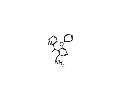 CC(c1ccccn1)c1c(CN)cccc1Oc1ccccc1